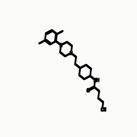 Cc1ccc(C)c(N2CCN(CCC3CCC(NC(=O)CCCC#N)CC3)CC2)c1